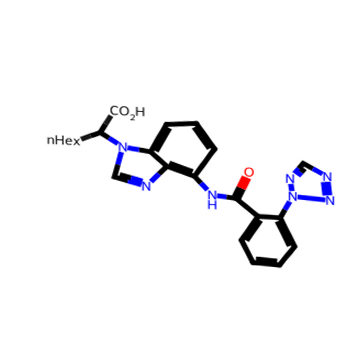 CCCCCCC(C(=O)O)n1cnc2c(NC(=O)c3ccccc3-n3ncnn3)cccc21